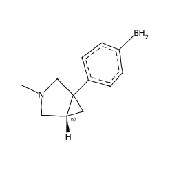 Bc1ccc(C23C[C@@H]2CN(C)C3)cc1